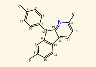 Cc1ccc(B2c3cc(C)ccc3-c3ccc(C)nc32)cc1